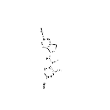 N#Cc1cnc(C(=O)NC2CCc3cc(C#N)ccc32)c(O)c1